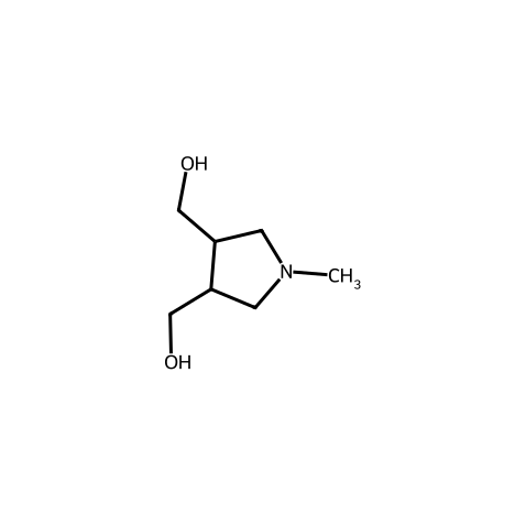 CN1CC(CO)C(CO)C1